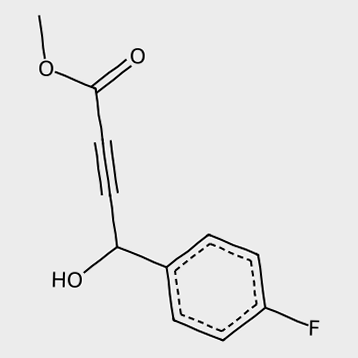 COC(=O)C#CC(O)c1ccc(F)cc1